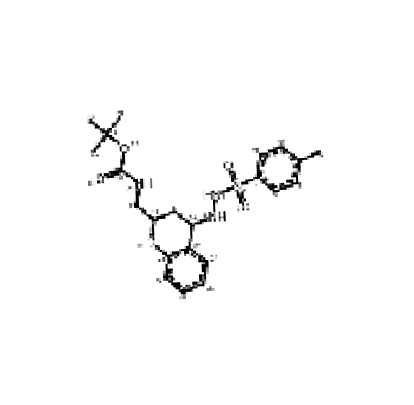 Cc1ccc(S(=O)(=O)NNC2CC(CNC(=O)OC(C)(C)C)Oc3ccccc32)cc1